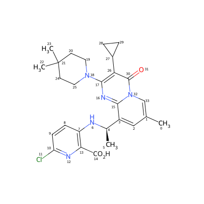 Cc1cc([C@@H](C)Nc2ccc(Cl)nc2C(=O)O)c2nc(N3CCC(C)(C)CC3)c(C3CC3)c(=O)n2c1